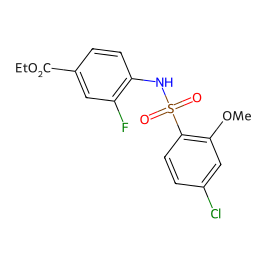 CCOC(=O)c1ccc(NS(=O)(=O)c2ccc(Cl)cc2OC)c(F)c1